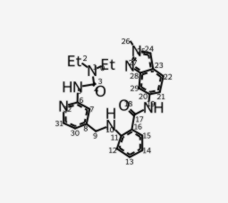 CCN(CC)C(=O)Nc1cc(CNc2ccccc2C(=O)Nc2ccc3cn(C)nc3c2)ccn1